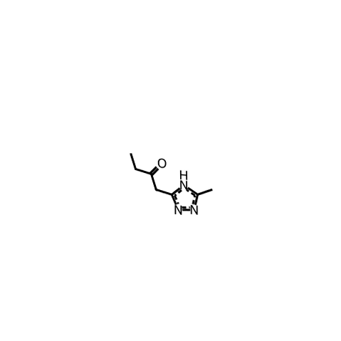 CCC(=O)Cc1nnc(C)[nH]1